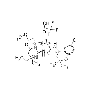 CC[C@]1(C)CC(=O)N([C@H](CCOC)[C@@H]2C[C@H]2C(=O)N[C@H]2CC(C)(C)Oc3ccc(Cl)cc32)C(=N)N1.O=C(O)C(F)(F)F